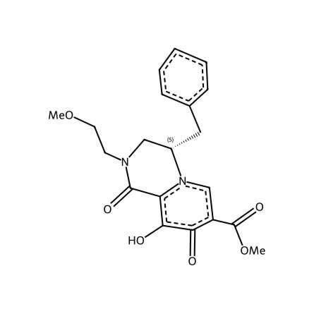 COCCN1C[C@H](Cc2ccccc2)n2cc(C(=O)OC)c(=O)c(O)c2C1=O